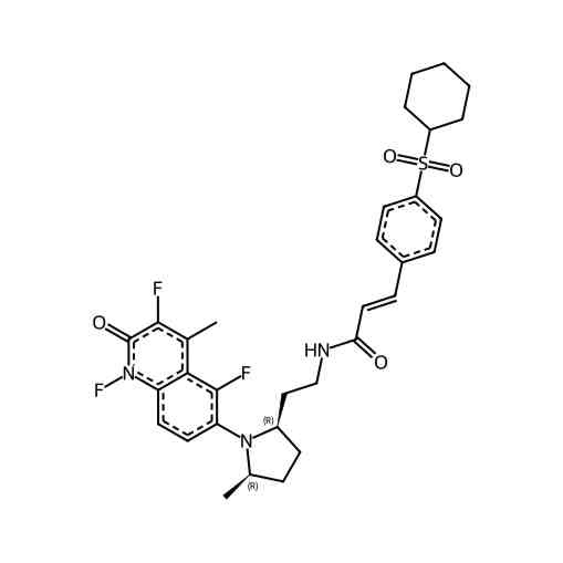 Cc1c(F)c(=O)n(F)c2ccc(N3[C@@H](CCNC(=O)C=Cc4ccc(S(=O)(=O)C5CCCCC5)cc4)CC[C@H]3C)c(F)c12